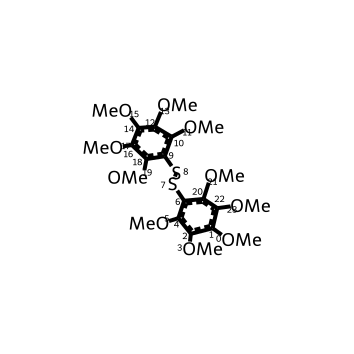 COc1c(OC)c(OC)c(SSc2c(OC)c(OC)c(OC)c(OC)c2OC)c(OC)c1OC